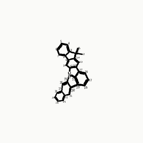 CC1(C)c2ccccc2-c2cc3c(cc21)c1cccc2c4cc5ccccc5cc4n3c12